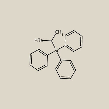 CC([TeH])[Si](c1ccccc1)(c1ccccc1)c1ccccc1